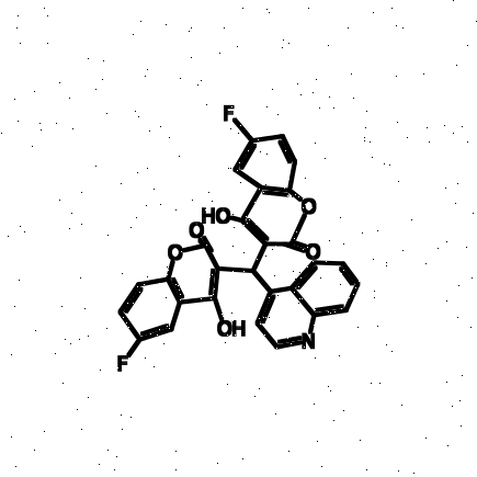 O=c1oc2ccc(F)cc2c(O)c1C(c1c(O)c2cc(F)ccc2oc1=O)c1ccnc2ccccc12